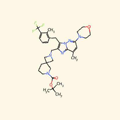 Cc1c(Cc2c(CN3CC4(CCCN(C(=O)OC(C)(C)C)C4)C3)nc3c(C)cc(N4CCOCC4)nn23)cccc1C(F)(F)F